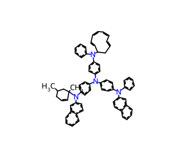 CC1CC=CC(C)(N(c2ccc(N(c3ccc(N(c4ccccc4)c4ccc5ccccc5c4)cc3)c3ccc(N(c4ccccc4)C4/C=C/C=C\C=C/C=C/C4)cc3)cc2)c2ccc3ccccc3c2)C1